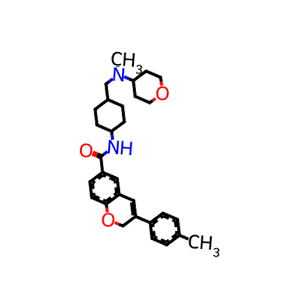 Cc1ccc(C2=Cc3cc(C(=O)NC4CCC(CN(C)C5CCOCC5)CC4)ccc3OC2)cc1